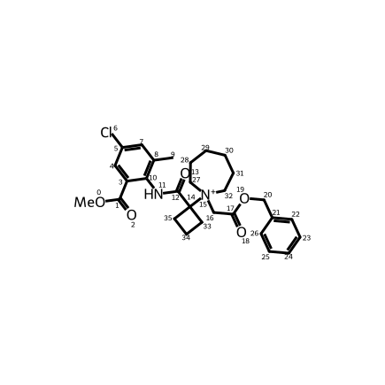 COC(=O)c1cc(Cl)cc(C)c1NC(=O)C1([N+]2(CC(=O)OCc3ccccc3)CCCCCC2)CCC1